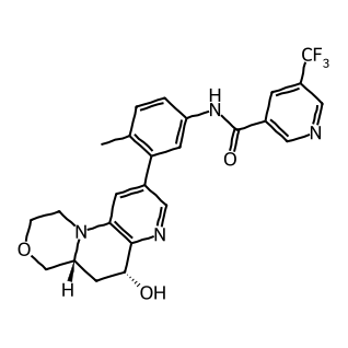 Cc1ccc(NC(=O)c2cncc(C(F)(F)F)c2)cc1-c1cnc2c(c1)N1CCOC[C@H]1C[C@H]2O